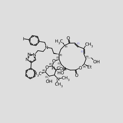 CC[C@H]1OC(=O)C[C@@H](O)[C@H](C)[C@@H](O[C@@H]2O[C@H](C)[C@@H](O)C(N(C)C)C2O)[C@@H](CCN(CCn2cc(-c3ccccc3)nn2)Cc2ccc(I)cc2)C[C@@H](C)C(=O)/C=C/C(C)=C/[C@@H]1CO